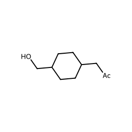 CC(=O)CC1CCC(CO)CC1